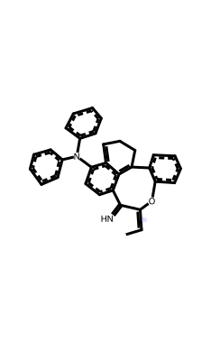 C/C=C1/Oc2ccccc2C2=c3c(ccc(N(c4ccccc4)c4ccccc4)c3=CCC2)C1=N